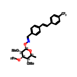 CCCO[C@@H]1[C@H](OC)[C@H](ON=Cc2ccc(C=Cc3ccc(C(F)(F)F)cc3)cc2)O[C@@H](C)[C@@H]1OC